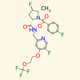 C[C@H]1[C@H](F)C[C@@H](C(=O)NCc2cc(OCCOC(F)(F)F)c(F)cn2)N1S(=O)(=O)c1ccc(F)cc1